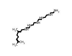 CC(C)=CCCC(C)=CCNCCNCCNCCNCCNCCN